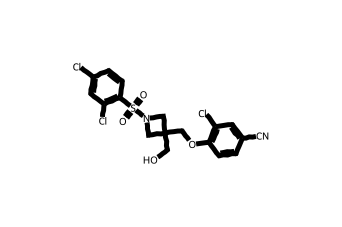 N#Cc1ccc(OCC2(CO)CN(S(=O)(=O)c3ccc(Cl)cc3Cl)C2)c(Cl)c1